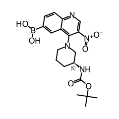 CC(C)(C)OC(=O)N[C@H]1CCCN(c2c([N+](=O)[O-])cnc3ccc(B(O)O)cc23)C1